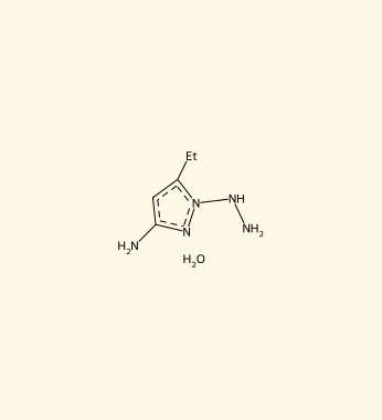 CCc1cc(N)nn1NN.O